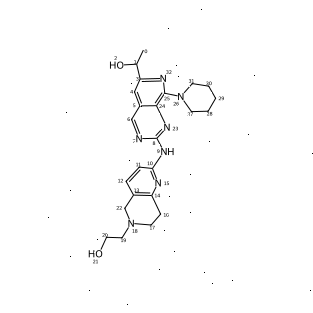 CC(O)c1cc2cnc(Nc3ccc4c(n3)CCN(CCO)C4)nc2c(N2CCCCC2)n1